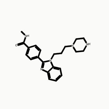 CNC(=O)c1ccc(-c2nc3ccccc3n2CCCN2CCNCC2)cc1